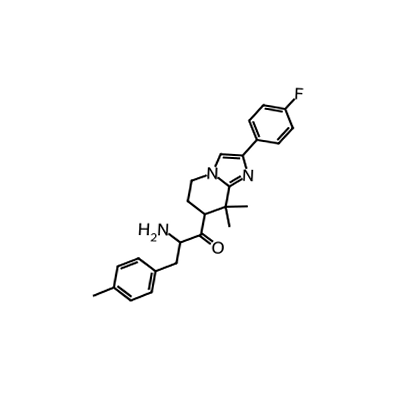 Cc1ccc(CC(N)C(=O)C2CCn3cc(-c4ccc(F)cc4)nc3C2(C)C)cc1